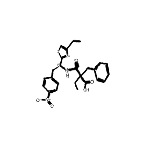 CCc1csc([C@H](Cc2ccc([N+](=O)[O-])cc2)NC(=O)C(CC)(Cc2ccccc2)C(=O)O)n1